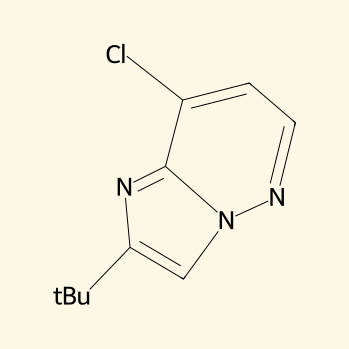 CC(C)(C)c1cn2nccc(Cl)c2n1